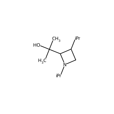 CC(C)C1CN(C(C)C)C1C(C)(C)O